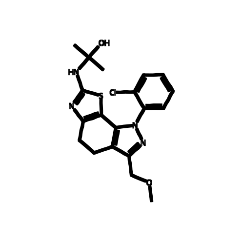 COCc1nn(-c2ccccc2Cl)c2c1CCc1nc(NC(C)(C)O)sc1-2